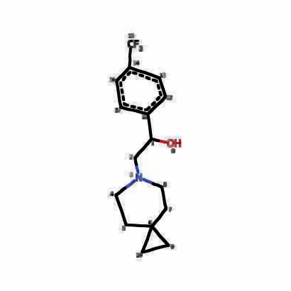 OC(CN1CCC2(CC1)CC2)c1ccc(C(F)(F)F)cc1